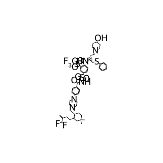 C=C(CCC1=C(CN2CCN(c3ccc(C(=O)NS(=O)(=O)c4ccc(N[C@H](CCN5CCC(O)CC5)CSc5ccccc5)c(S(=O)(=O)C(F)(F)F)c4)cc3)CC2)CCC(C)(C)C1)C(F)F